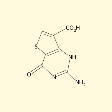 Nc1nc(=O)c2scc(C(=O)O)c2[nH]1